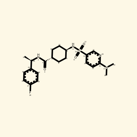 C[C@@H](NC(=O)[C@H]1CC[C@H](NS(=O)(=O)c2ccc(N(C)C)nc2)CC1)c1ccc(F)cc1